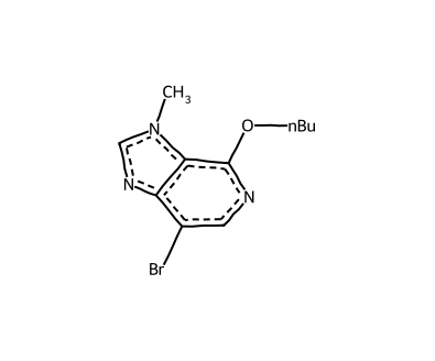 CCCCOc1ncc(Br)c2ncn(C)c12